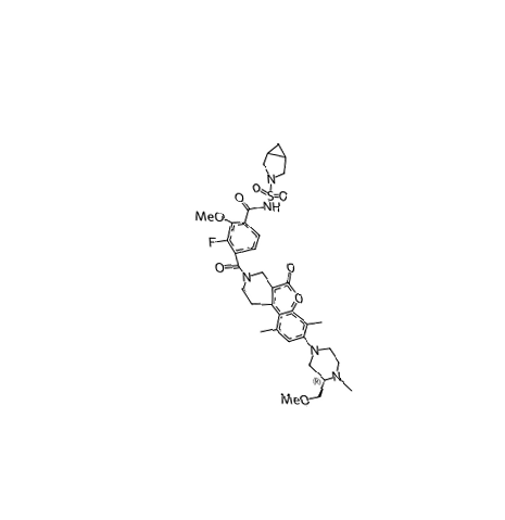 COC[C@H]1CN(c2cc(C)c3c4c(c(=O)oc3c2C)CN(C(=O)c2ccc(C(=O)NS(=O)(=O)N3CC5CC5C3)c(OC)c2F)CC4)CCN1C